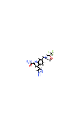 NC(=O)c1cc(-c2cn[nH]c2)c2ccc(CN3CCO[C@@H](C(F)(F)F)C3)cc2n1